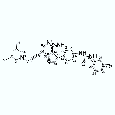 CCCN(CC#Cc1cnc(N)c2c(-c3ccc(NC(=O)Nc4cccc(C)c4)cc3)csc12)CCC